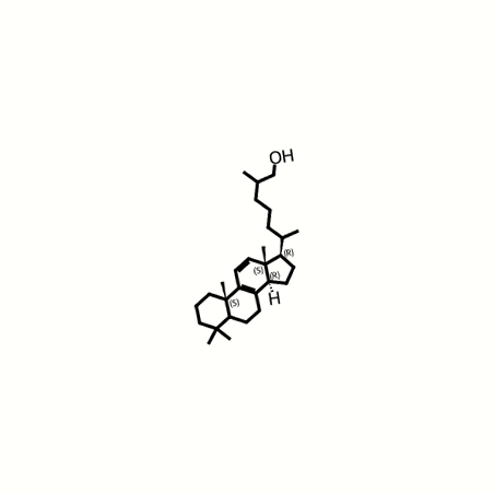 CC(CO)CCCC(C)[C@H]1CC[C@H]2C3=C(C=C[C@]12C)[C@@]1(C)CCCC(C)(C)C1CC3